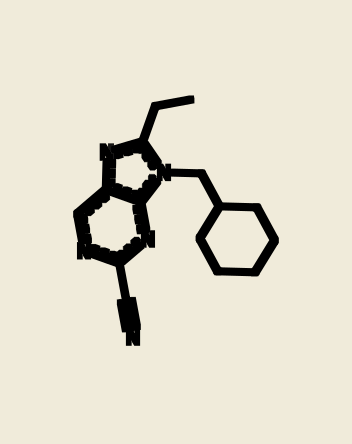 CCc1nc2cnc(C#N)nc2n1CC1CCCCC1